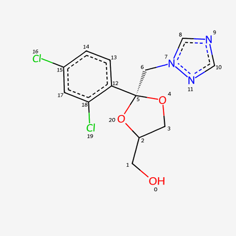 OCC1CO[C@](Cn2cncn2)(c2ccc(Cl)cc2Cl)O1